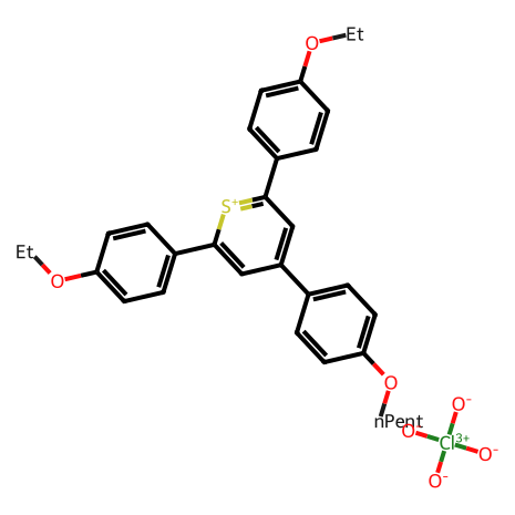 CCCCCOc1ccc(-c2cc(-c3ccc(OCC)cc3)[s+]c(-c3ccc(OCC)cc3)c2)cc1.[O-][Cl+3]([O-])([O-])[O-]